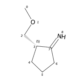 COC[C@H]1CCCC1=N